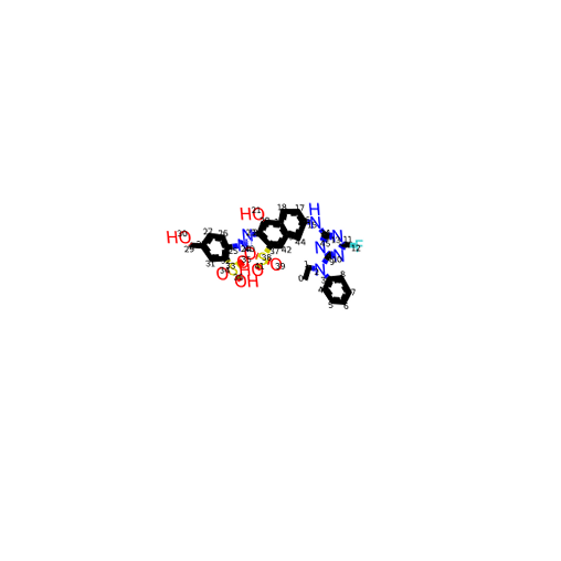 CCN(c1ccccc1)c1nc(F)nc(Nc2ccc3c(O)c(/N=N/c4ccc(CO)cc4S(=O)(=O)O)c(S(=O)(=O)O)cc3c2)n1